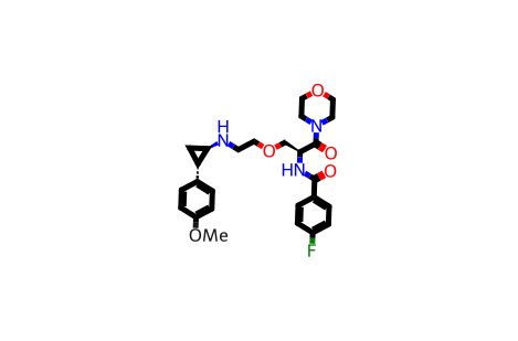 COc1ccc([C@@H]2C[C@H]2NCCOC[C@H](NC(=O)c2ccc(F)cc2)C(=O)N2CCOCC2)cc1